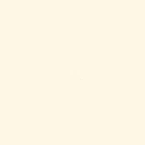 CC(C)=COOC(C)(C)C